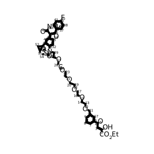 CCOC(=O)/C(O)=C/C(=O)c1cccc(COCCOCCOCCOCCOCCOCCN(c2cc3oc(-c4ccc(F)cc4)c(C(=O)NC)c3cc2C2CC2)S(C)(=O)=O)c1